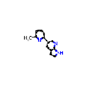 Cc1cccc(-c2cnc3[nH]ccc3c2)n1